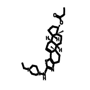 CCC(=O)O[C@H]1CC[C@H]2[C@@H]3CC=C4c5sc(NN6CCN(CC)CC6)nc5CC[C@]4(C)[C@H]3CC[C@]12C